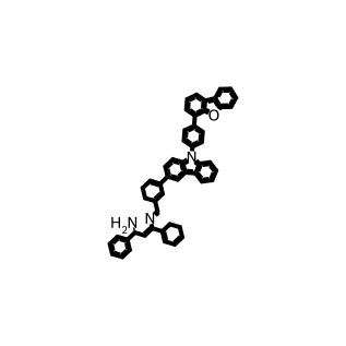 N[C@H](/C=C(\N=C\C1=CC(c2ccc3c(c2)c2ccccc2n3-c2ccc(-c3cccc4c3oc3ccccc34)cc2)=CCC1)C1=CC=CCC1)c1ccccc1